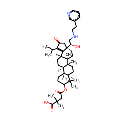 CC(C)C1=C2[C@H]3CC[C@@H]4[C@@]5(C)CCC(OC(=O)CC(C)(C)C(=O)O)C(C)(C)[C@@H]5CC[C@@]4(C)[C@]3(C)CC[C@@]2([C@H](O)CNCCc2cccnc2)CC1=O